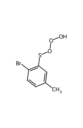 Cc1ccc(Br)c(SOOO)c1